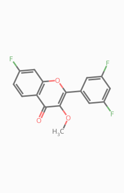 COc1c(-c2cc(F)cc(F)c2)oc2cc(F)ccc2c1=O